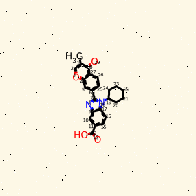 Cc1coc2cc(-c3nc4cc(C(=O)O)ccc4n3C3CCCCC3)ccc2c1=O